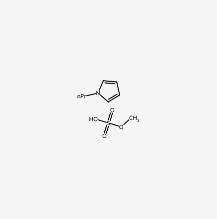 CCCn1cccc1.COS(=O)(=O)O